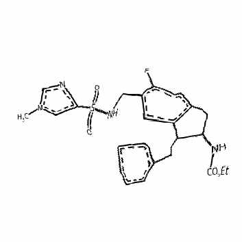 CCOC(=O)NC1Cc2cc(F)c(CNS(=O)(=O)c3cn(C)cn3)cc2C1Cc1ccccc1